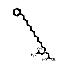 CC(O)CN(CCCCCCCCCCCCCc1ccccc1)CC(C)O